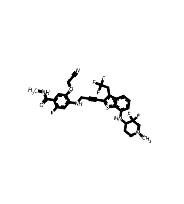 CNC(=O)c1cc(OCC#N)c(NCC#Cc2sc3c(NC4CCN(C)CC4(F)F)cccc3c2CC(F)(F)F)cc1F